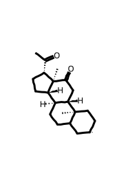 CC(=O)[C@H]1CC[C@H]2[C@@H]3CCC4C[CH]CC[C@]4(C)[C@H]3CC(=O)[C@]12C